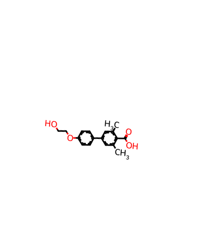 Cc1cc(-c2ccc(OCCO)cc2)cc(C)c1C(=O)O